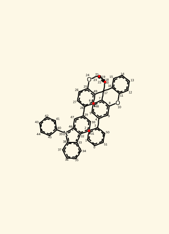 c1ccc(-c2ccc3c(c2)Oc2ccccc2C32c3ccccc3Oc3ccc(-c4ccc5c6ccccc6n(-c6ccccc6)c5c4)cc32)cc1